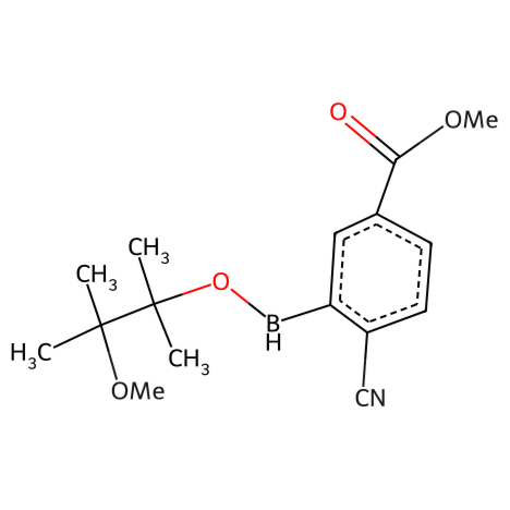 COC(=O)c1ccc(C#N)c(BOC(C)(C)C(C)(C)OC)c1